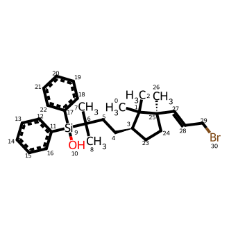 CC1(C)[C@H](CCC(C)(C)[Si](O)(c2ccccc2)c2ccccc2)CC[C@]1(C)/C=C/CBr